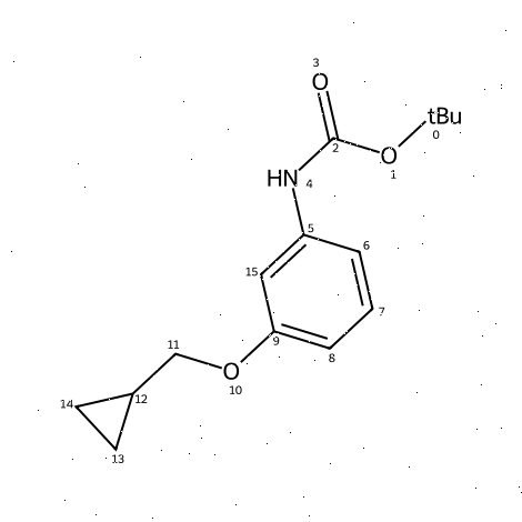 CC(C)(C)OC(=O)Nc1cccc(OCC2CC2)c1